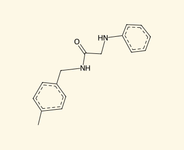 Cc1ccc(CNC(=O)CNc2ccccc2)cc1